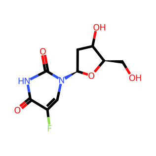 O=c1[nH]c(=O)n([C@H]2CC(O)[C@@H](CO)O2)cc1F